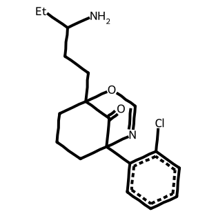 CCC(N)CCC12CCCC(c3ccccc3Cl)(N=CO1)C2=O